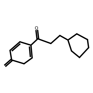 C=C1C=CC(C(=O)CCC2CCCCC2)=CC1